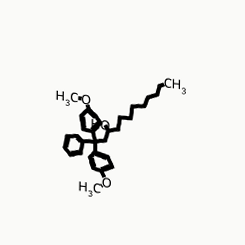 CCCCCCCCCC(O)CC(c1ccccc1)(c1ccc(OC)cc1)c1ccc(OC)cc1